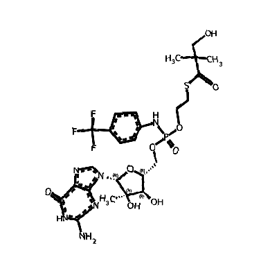 CC(C)(CO)C(=O)SCCOP(=O)(Nc1ccc(C(F)(F)F)cc1)OC[C@H]1O[C@@H](n2cnc3c(=O)[nH]c(N)nc32)[C@](C)(O)[C@@H]1O